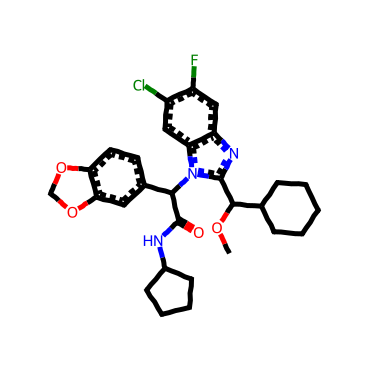 COC(c1nc2cc(F)c(Cl)cc2n1C(C(=O)NC1CCCC1)c1ccc2c(c1)OCO2)C1CCCCC1